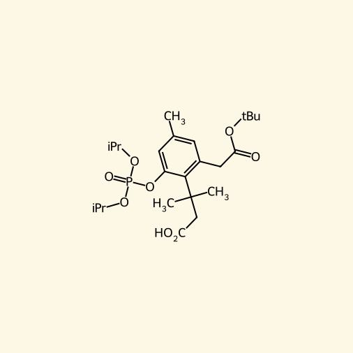 Cc1cc(CC(=O)OC(C)(C)C)c(C(C)(C)CC(=O)O)c(OP(=O)(OC(C)C)OC(C)C)c1